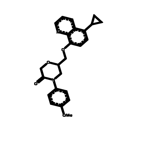 COc1ccc(N2CC(COc3ccc(C4CC4)c4cccnc34)OCC2=O)cc1